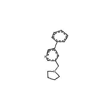 c1ccc(-c2cncc(CN3CCCC3)c2)cc1